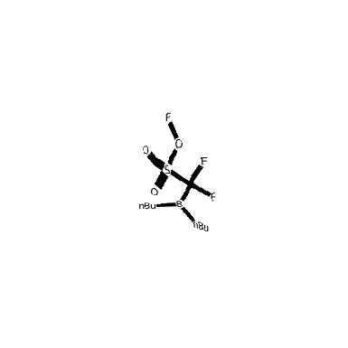 CCCCB(CCCC)C(F)(F)S(=O)(=O)OF